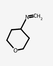 C=NC1CCOCC1